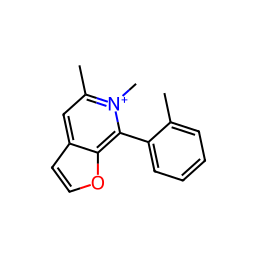 Cc1ccccc1-c1c2occc2cc(C)[n+]1C